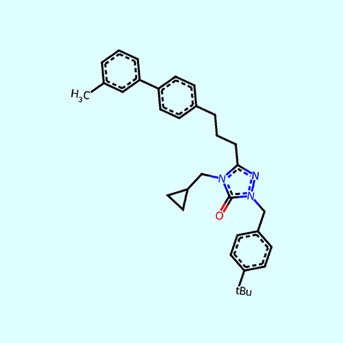 Cc1cccc(-c2ccc(CCCc3nn(Cc4ccc(C(C)(C)C)cc4)c(=O)n3CC3CC3)cc2)c1